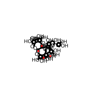 O=C1OC[C@H]2OC(=O)c3cc(O)c(O)c(O)c3-c3c(O)c(O)c(O)c4c3C(=O)O[C@H]([C@H]3OC(=O)c5c-4c(O)c(O)c(O)c5[C@@H]3c3c(O)cc(O)c4c3O[C@H](c3ccc(O)c(O)c3)[C@@H](O)C4)[C@@H]2OC(=O)c2cc(O)c(O)c(O)c2-c2c1cc(O)c(O)c2O